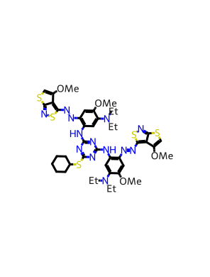 CCN(CC)c1cc(Nc2nc(Nc3cc(N(CC)CC)c(OC)cc3/N=N/c3snc4scc(OC)c34)nc(SC3CCCCC3)n2)c(/N=N/c2snc3scc(OC)c23)cc1OC